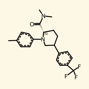 Cc1ccc(N2CC(c3ccc(C(F)(F)F)cc3)CC[C@H]2C(=O)N(C)C)cc1